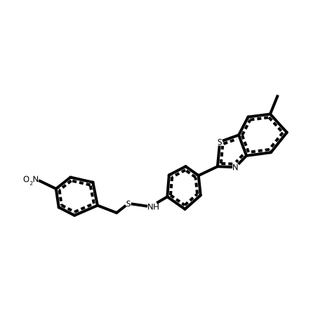 Cc1ccc2nc(-c3ccc(NSCc4ccc([N+](=O)[O-])cc4)cc3)sc2c1